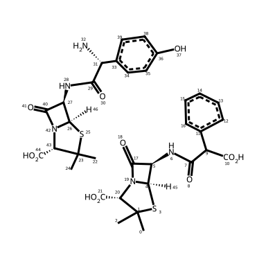 CC1(C)S[C@@H]2[C@H](NC(=O)C(C(=O)O)c3ccccc3)C(=O)N2[C@H]1C(=O)O.CC1(C)S[C@@H]2[C@H](NC(=O)[C@H](N)c3ccc(O)cc3)C(=O)N2[C@H]1C(=O)O